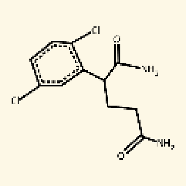 NC(=O)CCC(C(N)=O)c1cc(Cl)ccc1Cl